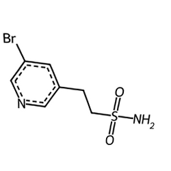 NS(=O)(=O)CCc1cncc(Br)c1